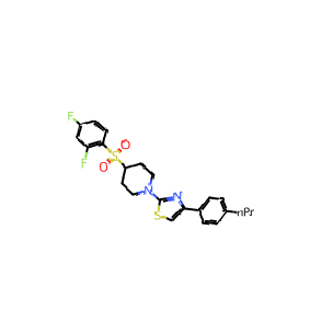 CCCc1ccc(-c2csc(N3CCC(S(=O)(=O)c4ccc(F)cc4F)CC3)n2)cc1